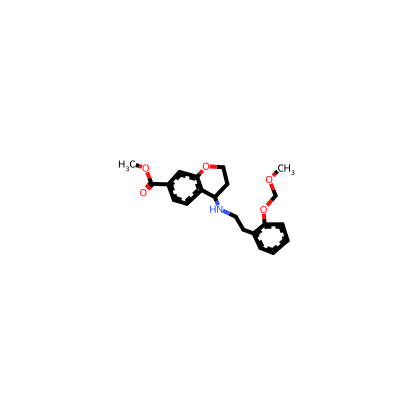 COCOc1ccccc1CCNC1CCOc2cc(C(=O)OC)ccc21